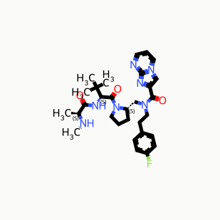 CN[C@@H](C)C(=O)N[C@H](C(=O)N1CCC[C@H]1CN(CCc1ccc(F)cc1)C(=O)c1cn2cccnc2n1)C(C)(C)C